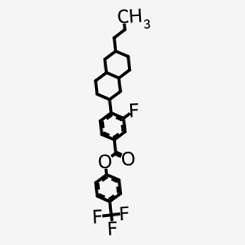 CCCC1CCC2CC(c3ccc(C(=O)Oc4ccc(C(F)(F)F)cc4)cc3F)CCC2C1